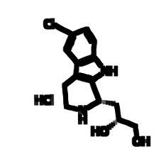 Cl.OC[C@H](O)C[C@@H]1NCCc2c1[nH]c1ccc(Cl)cc21